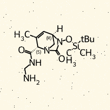 CC1=C[C@@H]2CN(C(=O)N2O[Si](C)(C)C(C)(C)C)[C@@H]1C(=O)NCN